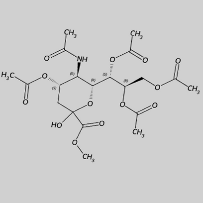 COC(=O)C1(O)C[C@H](OC(C)=O)[C@@H](NC(C)=O)[C@H]([C@H](OC(C)=O)[C@@H](COC(C)=O)OC(C)=O)O1